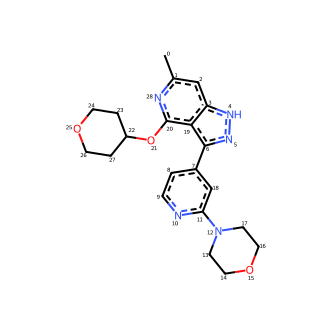 Cc1cc2[nH]nc(-c3ccnc(N4CCOCC4)c3)c2c(OC2CCOCC2)n1